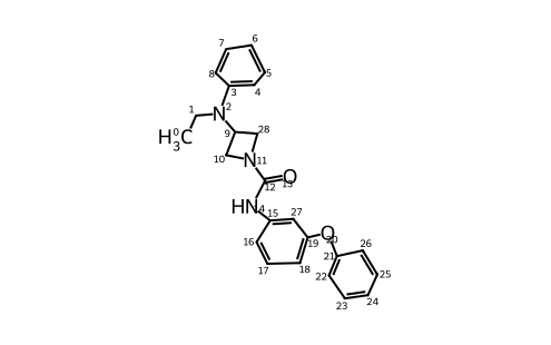 CCN(c1ccccc1)C1CN(C(=O)Nc2cccc(Oc3ccccc3)c2)C1